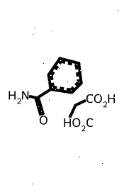 NC(=O)c1ccccc1.O=C(O)CC(=O)O